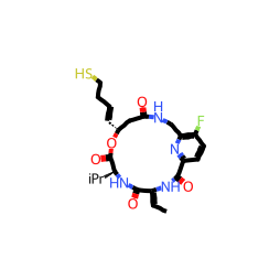 C/C=C1\NC(=O)c2ccc(F)c(n2)CNC(=O)C[C@@H](/C=C/CCS)OC(=O)[C@H](C(C)C)NC1=O